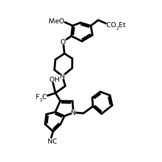 [C-]#[N+]c1ccc2c(C(O)(CN3CCC(Oc4ccc(CC(=O)OCC)cc4OC)CC3)C(F)(F)F)cn(Cc3ccccc3)c2c1